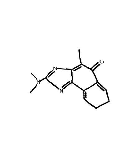 CC1=C2N=C(N(C)C)N=C2C2=CCCC=C2C1=O